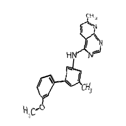 COc1cccc(-c2cc(C)cc(Nc3ncnc4nc(C)ccc34)c2)c1